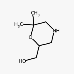 CC1(C)CNCC(CO)O1